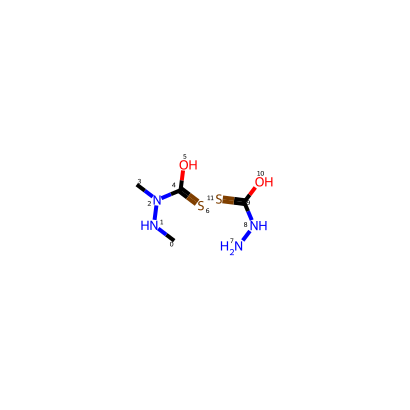 CNN(C)C(O)=S.NNC(O)=S